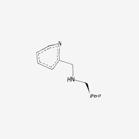 CCC[C@H](C)CNCc1ccccn1